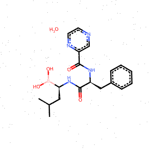 CC(C)C[C@H](NC(=O)[C@H](Cc1ccccc1)NC(=O)c1cnccn1)B(O)O.O